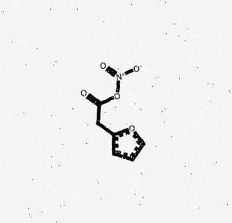 O=C(Cc1ccco1)O[N+](=O)[O-]